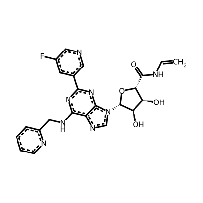 C=CNC(=O)[C@H]1O[C@@H](n2cnc3c(NCc4ccccn4)nc(-c4cncc(F)c4)nc32)[C@H](O)[C@@H]1O